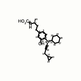 C[C@@H](CCc1ccc(N(C#CCC2CC2)C2CCCCC2)c(O)c1)NC(=O)O